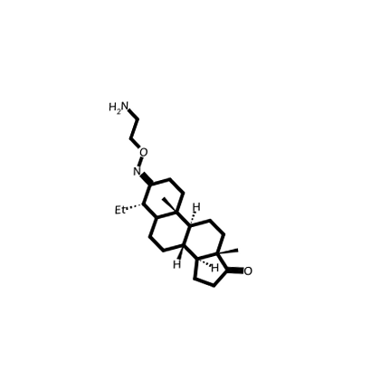 CC[C@@H]1C(=NOCCN)CC[C@@]2(C)C1CC[C@@H]1[C@@H]2CC[C@]2(C)C(=O)CC[C@@H]12